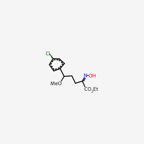 CCOC(=O)C(CCC(OC)c1ccc(Cl)cc1)=NO